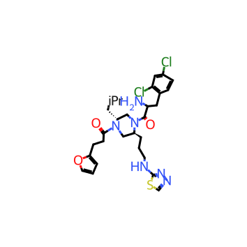 CC(C)C[C@@H]1CN(C(=O)C(N)Cc2ccc(Cl)cc2Cl)[C@@H](CCCNc2nncs2)CN1C(=O)CCc1ccco1